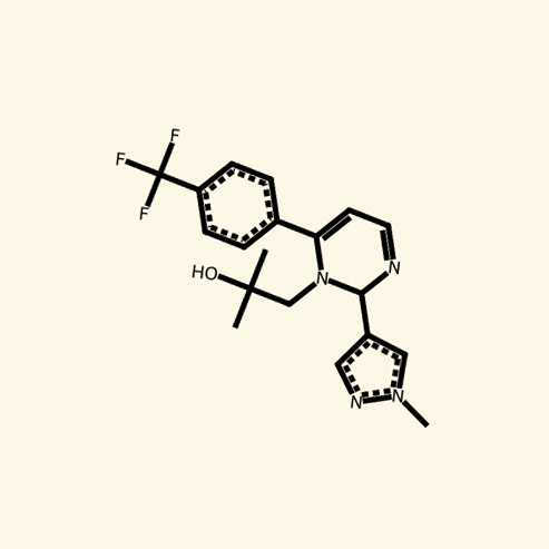 Cn1cc(C2N=CC=C(c3ccc(C(F)(F)F)cc3)N2CC(C)(C)O)cn1